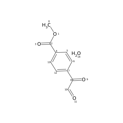 COC(=O)c1ccc(C(=O)C=O)cc1.O